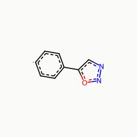 [c]1ccc(-c2cnno2)cc1